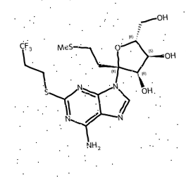 CSCC[C@@]1(n2cnc3c(N)nc(SCCC(F)(F)F)nc32)O[C@H](CO)[C@@H](O)[C@H]1O